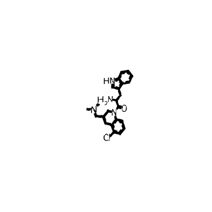 CN(C)CC1Cc2c(Cl)cccc2N(C(=O)C(N)Cc2c[nH]c3ccccc23)C1